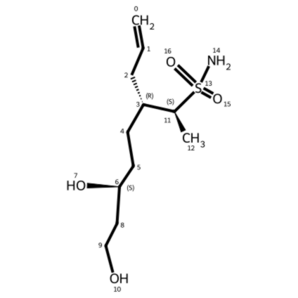 C=CC[C@@H](CC[C@H](O)CCO)[C@H](C)S(N)(=O)=O